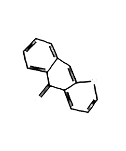 O=c1c2ccc[nH]c-2cc2ccccc12